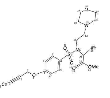 CC#CCOc1ccc(S(=O)(=O)N(CCN2CCOCC2)C(C(=O)OC)C(C)C)cc1